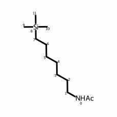 CC(=O)NCCCCCCC[Si](C)(C)C